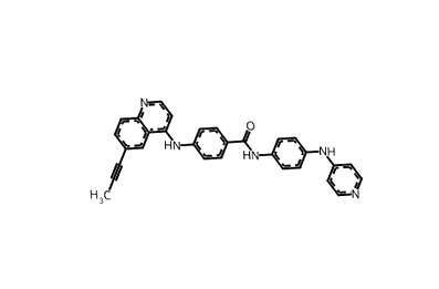 CC#Cc1ccc2nccc(Nc3ccc(C(=O)Nc4ccc(Nc5ccncc5)cc4)cc3)c2c1